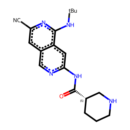 CC(C)(C)Nc1nc(C#N)cc2cnc(NC(=O)[C@H]3CCCNC3)cc12